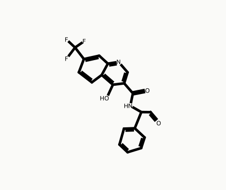 O=[C]C(NC(=O)c1cnc2cc(C(F)(F)F)ccc2c1O)c1ccccc1